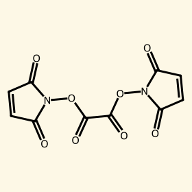 O=C(ON1C(=O)C=CC1=O)C(=O)ON1C(=O)C=CC1=O